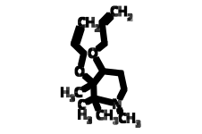 C=CCOC1CCN(C)C(C)(C)C1(C)OCC=C